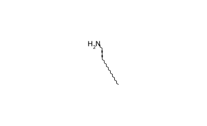 CCCCCCCCCCCCCCCCC#CC#CCCCN